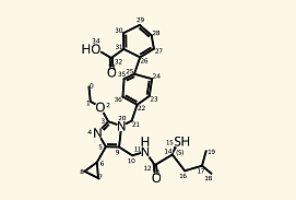 CCOc1nc(C2CC2)c(CNC(=O)[C@@H](S)CC(C)C)n1Cc1ccc(-c2ccccc2C(=O)O)cc1